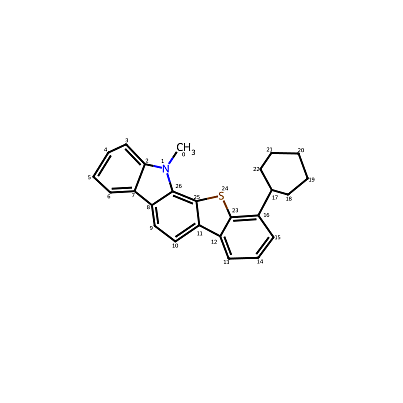 Cn1c2ccccc2c2ccc3c4cccc(C5CCCCC5)c4sc3c21